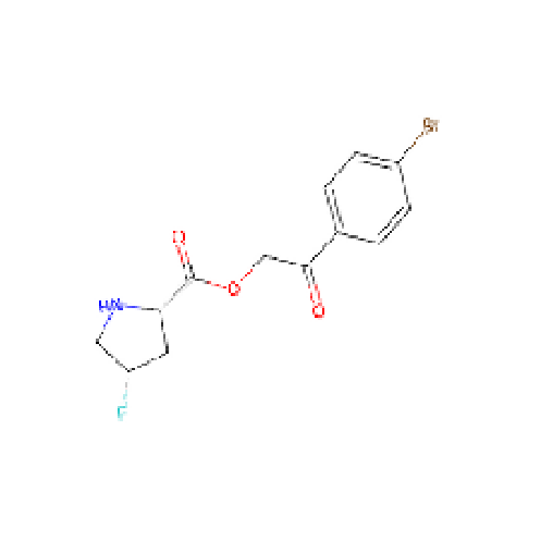 O=C(COC(=O)[C@@H]1C[C@H](F)CN1)c1ccc(Br)cc1